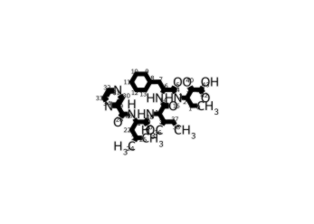 CCC(NC(=O)C(CC1CCCCC1)NC(=O)C(NC(=O)C(CC(C)C)NC(=O)c1cnccn1)C(C)CC)C(=O)C(=O)O